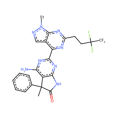 CCn1ncc2c(-c3nc(N)c4c(n3)NC(=O)C4(C)c3ccccc3)nc(CCC(F)(F)C(F)(F)F)nc21